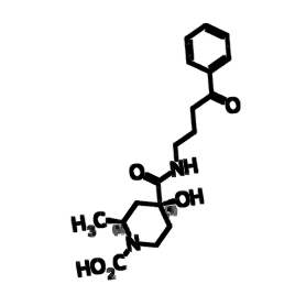 C[C@H]1C[C@](O)(C(=O)NCCCC(=O)c2ccccc2)CCN1C(=O)O